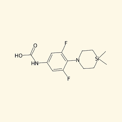 C[Si]1(C)CCN(c2c(F)cc(NC(=O)O)cc2F)CC1